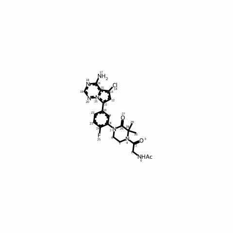 CC(=O)NCC(=O)N1CCN(c2cc(-c3cc(Cl)c4c(N)ncnn34)ccc2F)C(=O)C1(C)C